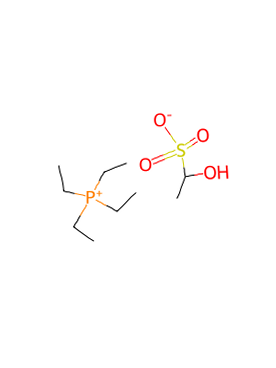 CC(O)S(=O)(=O)[O-].CC[P+](CC)(CC)CC